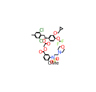 COc1ccc(C(=O)OCC(=O)O[C@@H](Cc2c(Cl)cc(C)cc2Cl)c2ccc(OC(F)F)c(OCC3CC3)c2)cc1N(CCN1CCOCC1)S(C)(=O)=O